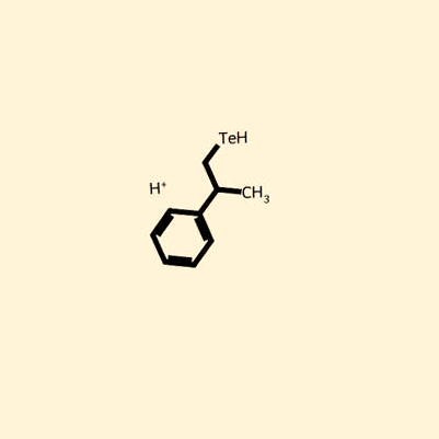 CC(C[TeH])c1ccccc1.[H+]